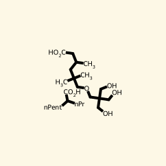 CC(CC(=O)O)CC(C)(C)COCC(CO)(CO)CO.CCCCCC(CCC)C(=O)O